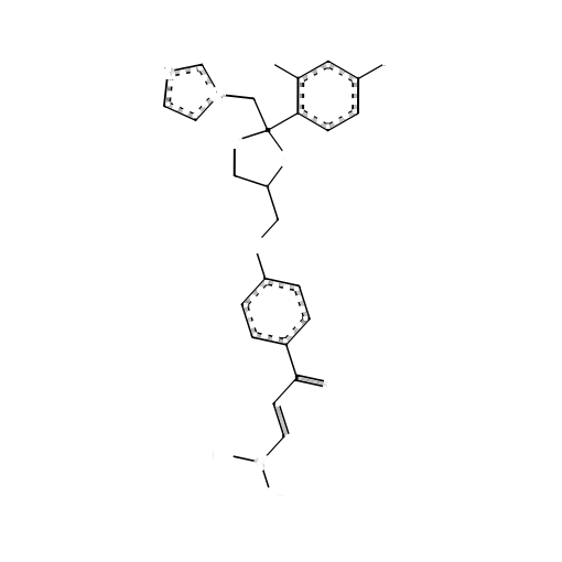 Cc1cc(Br)ccc1C1(Cn2ccnc2)OCC(COc2ccc(C(=O)C=CN(C)C)cc2)O1